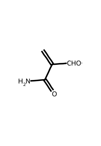 C=C([C]=O)C(N)=O